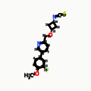 COc1ccc(-c2ccc(CO[C@H]3C[C@@H](N=C=S)C3)nc2)cc1F